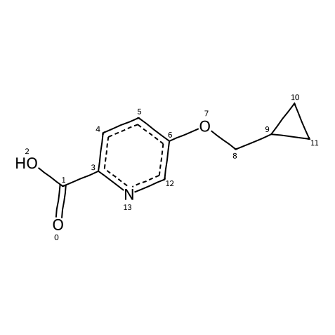 O=C(O)c1ccc(OCC2CC2)cn1